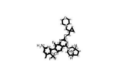 Cc1cc(N)nc(-c2c(Cl)cc3c(N4CC[C@H]5CC[C@@H](C4)N5)nc(OCC4(CN5CCOCC5)CC4)nc3c2F)c1C(F)(F)F